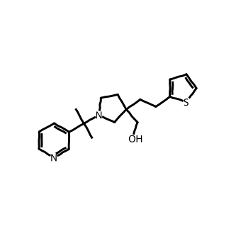 CC(C)(c1cccnc1)N1CCC(CO)(CCc2cccs2)C1